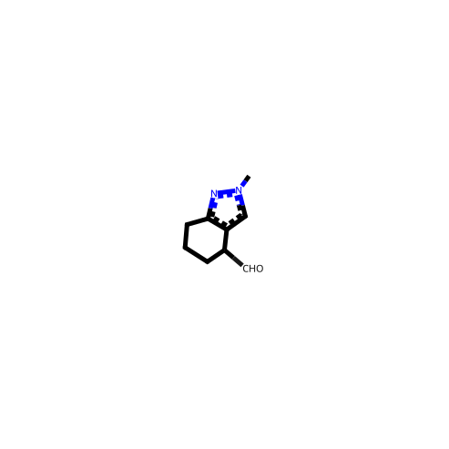 Cn1cc2c(n1)CCCC2C=O